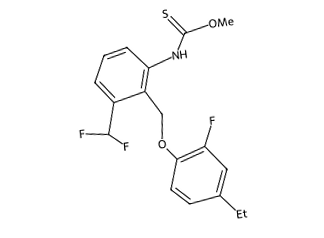 CCc1ccc(OCc2c(NC(=S)OC)cccc2C(F)F)c(F)c1